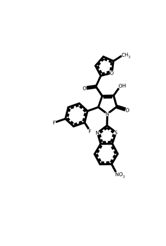 Cc1ccc(C(=O)C2=C(O)C(=O)N(c3nc4ccc([N+](=O)[O-])cc4s3)C2c2ccc(F)cc2F)o1